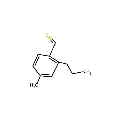 CCCc1cc(C)ccc1C=S